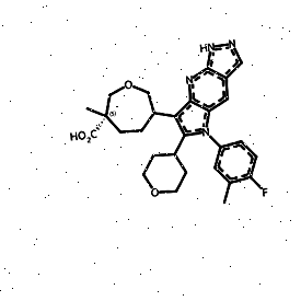 Cc1cc(-n2c(C3CCOCC3)c(C3CC[C@](C)(C(=O)O)COC3)c3nc4[nH]ncc4cc32)ccc1F